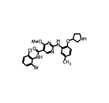 COc1nc(Nc2cc(C)ccc2OC2CCNC2)ncc1C(=O)Nc1c(Cl)cccc1Br